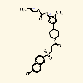 C/C=C/OC(=O)/N=c1\sc(C2CCN(C(=O)CCS(=O)(=O)c3ccc4cc(Cl)ccc4c3)CC2)cn1C